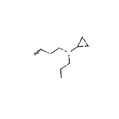 O=CCCN(CCO)C1CC1